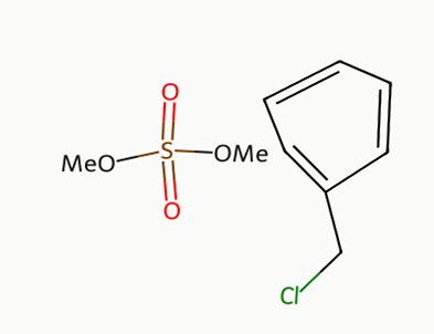 COS(=O)(=O)OC.ClCc1ccccc1